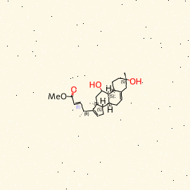 COC(=O)/C=C/[C@@H](C)C1=CC[C@H]2[C@@H]3CC=C4C[C@@](C)(O)CC[C@]4(C)[C@H]3C(O)C[C@]12C